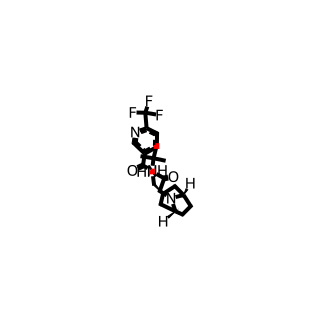 CC(C)(C)NC(=O)CN1[C@@H]2CC[C@H]1C[C@H](CNC(=O)c1ccc(C(F)(F)F)nc1)C2